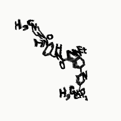 CCn1nc(C(=O)NCc2ccc(NC(=O)N3CCN(C)CC3)cc2)c2cc(-c3ccc(C(=O)N(C)C)cn3)ccc21